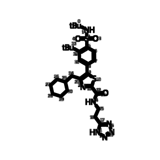 CC(C)(C)NS(=O)(=O)c1ccc(-c2sc(C(=O)NCCc3nnn[nH]3)nc2CC2CCCCC2)cc1C(C)(C)C